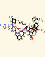 Cc1ncsc1-c1ccc([C@H](C)NC(=O)C2C[C@@H](O)CN2C(=O)[C@@H](NC(=O)CCCCCc2cc(Cl)cc(NC(=O)[C@H](CCC(N)=O)NC(=O)[C@@H]3Cc4cccc5c4N3C(=O)[C@@H](N)CC5)c2)C(C)(C)C)cc1